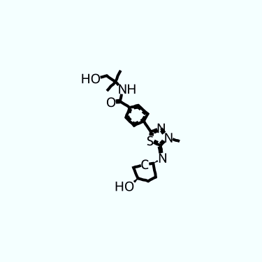 Cn1nc(-c2ccc(C(=O)NC(C)(C)CO)cc2)sc1=N[C@H]1CC[C@H](O)CC1